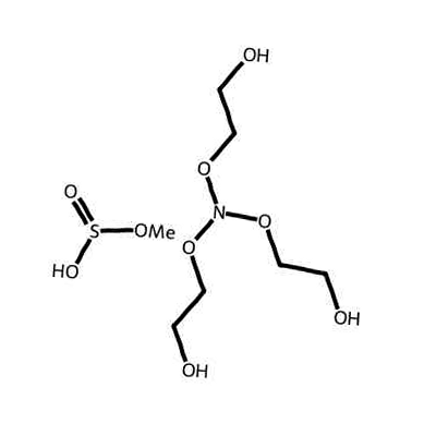 COS(=O)O.OCCON(OCCO)OCCO